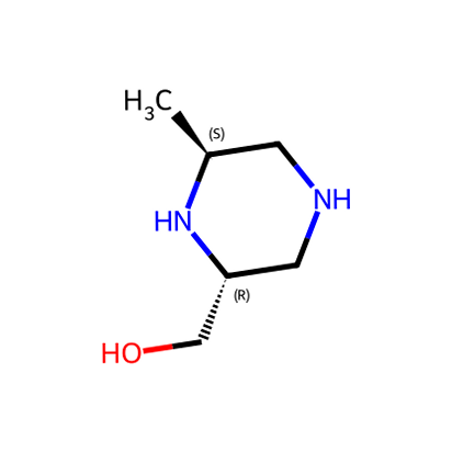 C[C@H]1CNC[C@H](CO)N1